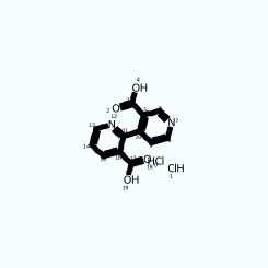 Cl.Cl.O=C(O)c1cnccc1-c1ncccc1C(=O)O